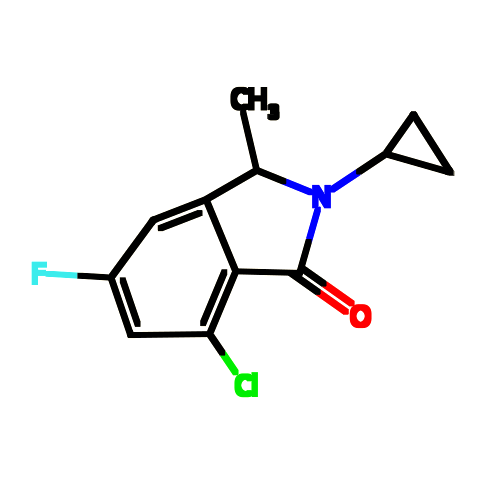 CC1c2cc(F)cc(Cl)c2C(=O)N1C1CC1